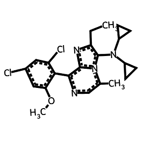 CCc1nc2c(-c3c(Cl)cc(Cl)cc3OC)ncc(C)n2c1N(C1CC1)C1CC1